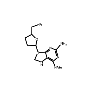 CNc1nc(N)nc2c1NCN2C1CCC(CC(C)C)O1